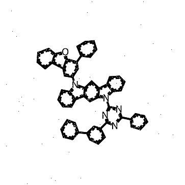 c1ccc(-c2cccc(-c3nc(-c4ccccc4)nc(-n4c5ccccc5c5cc6c(cc54)c4ccccc4n6-c4cc(-c5ccccc5)c5oc6ccccc6c5c4)n3)c2)cc1